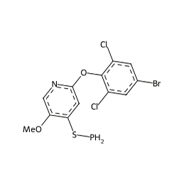 COc1cnc(Oc2c(Cl)cc(Br)cc2Cl)cc1SP